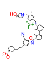 COC(=O)[C@@H]1CCCC(CCCc2cc(C#N)c3oc(-c4cccc(-c5cccc(/C=C/c6cc(C)c(CN7CC[C@@H](O)C7)cc6C(F)(F)F)c5C)c4C)nc3c2)C1